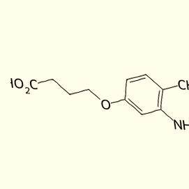 Nc1cc(OCCCC(=O)O)ccc1C=O